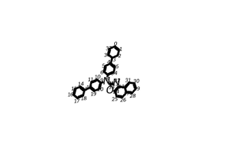 C1=CCC(c2ccc(N(c3ccc(-c4ccccc4)cc3)c3nc4c(ccc5ccccc54)o3)cc2)C=C1